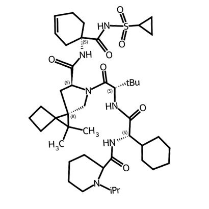 CC(C)N1CCCCC1C(=O)N[C@H](C(=O)N[C@H](C(=O)N1C[C@]2(C[C@H]1C(=O)N[C@]1(C(=O)NS(=O)(=O)C3CC3)CC=CCC1)C(C)(C)C21CCC1)C(C)(C)C)C1CCCCC1